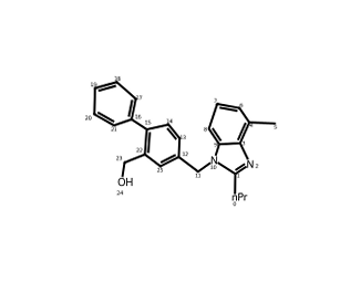 CCCc1nc2c(C)cccc2n1Cc1ccc(-c2ccccc2)c(CO)c1